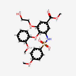 COC(=O)c1cc(NS(=O)(=O)c2ccc(OC)cc2)c(Oc2ccccc2OC)c(OCCO)c1